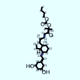 CCCCOC(=O)OC(C)(C)C(=O)/C=C/[C@@H](C)[C@H]1CC[C@H]2/C(=C/C=C3C[C@@H](O)C[C@H](O)C3)CCC[C@]12C